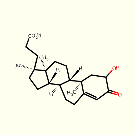 CC(=O)[C@@]1(CCC(=O)O)CC[C@H]2[C@@H]3CCC4=CC(=O)C(O)C[C@]4(C)[C@H]3CC[C@@]21C